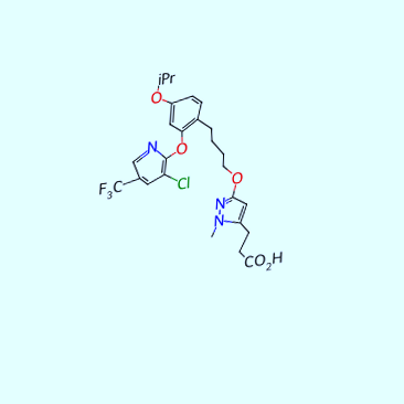 CC(C)Oc1ccc(CCCCOc2cc(CCC(=O)O)n(C)n2)c(Oc2ncc(C(F)(F)F)cc2Cl)c1